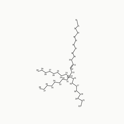 CCCCCCCCCCCC=CC[Si](CCCCCCCC)(CCCCCCCC)CCCCCCCC